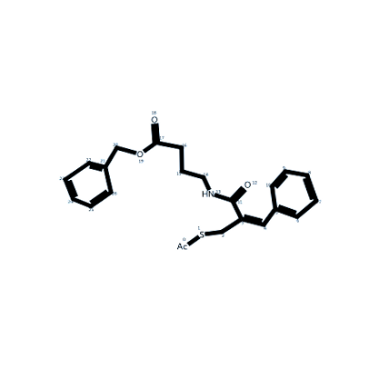 CC(=O)SCC(=Cc1ccccc1)C(=O)NCCCC(=O)OCc1ccccc1